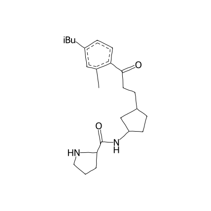 CCC(C)c1ccc(C(=O)CCC2CCC(NC(=O)C3CCCN3)C2)c(C)c1